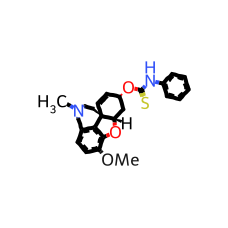 COc1ccc2c3c1O[C@H]1C[C@@H](OC(=S)Nc4ccccc4)C=C[C@@]31CCN(C)C2